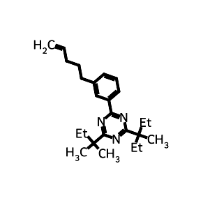 C=CCCCc1cccc(-c2nc(C(C)(C)CC)nc(C(C)(CC)CC)n2)c1